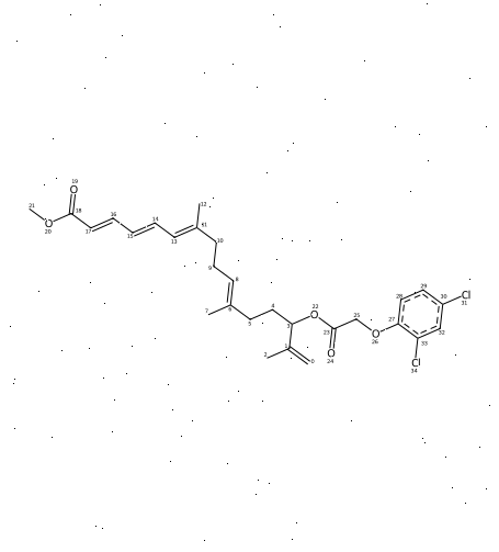 C=C(C)C(CCC(C)=CCCC(C)=CC=CC=CC(=O)OC)OC(=O)COc1ccc(Cl)cc1Cl